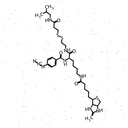 C=C1NC2CSC(CCCCC(=O)NCCCCC(NC(=O)c3ccc(N=[N+]=[N-])cc3)C(=O)NCCSSCCC(=O)NCC(C)C)C2N1